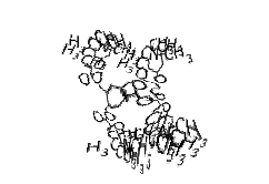 CC=C(OC1CC(C)(C)N(C)C(C)(C)C1)C(=O)OCc1cc(COC(=O)C(=CC)OC2CC(C)(C)N(C)C(C)(C)C2)c(COC(=O)C(=CC)OC2CC(C)(C)N(C)C(C)(C)C2)cc1COC(=O)C(=CC)OC1CC(C)(C)N(C)C(C)(C)C1